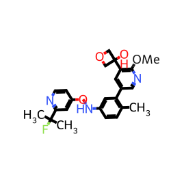 COc1ncc(-c2cc(NOc3ccnc(C(C)(C)F)c3)ccc2C)cc1C1(O)COC1